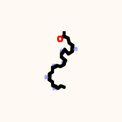 CC/C=C\C/C=C\C/C=C\C/C=C\C/C=C\C/C=C\CCC(C)=O